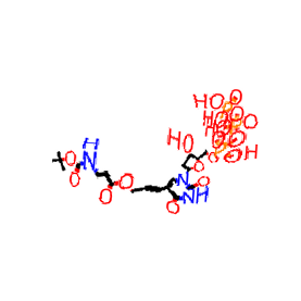 CC(C)(C)OC(=O)NCCC(=O)OCC#Cc1cn(C2CC(O)C(COP(=O)(O)OP(=O)(O)OP(=O)(O)O)O2)c(=O)[nH]c1=O